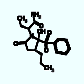 CCC[C@H]1CC(=O)N([C@@H](CC)C(N)=O)C1(O)S(=O)(=O)c1ccccc1